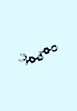 CN(CN)C(=O)c1ccc(-c2ccnc(Nc3ccc(N4CCOCC4)cc3)n2)cc1